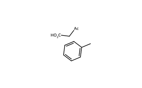 CC(=O)CC(=O)O.Cc1ccccc1